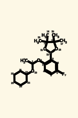 CC(Oc1ccc(F)cc1B1OC(C)(C)C(C)(C)O1)OC1CCCCC1